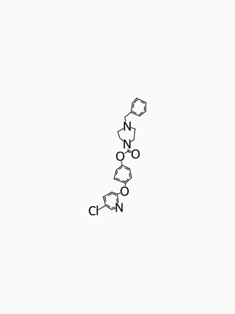 O=C(Oc1ccc(Oc2ccc(Cl)cn2)cc1)N1CCN(Cc2ccccc2)CC1